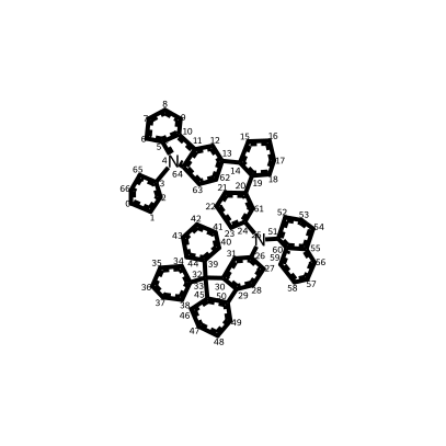 c1ccc(-n2c3ccccc3c3cc(-c4ccccc4-c4cccc(N(c5ccc6c(c5)C(c5ccccc5)(c5ccccc5)c5ccccc5-6)c5cccc6ccccc56)c4)ccc32)cc1